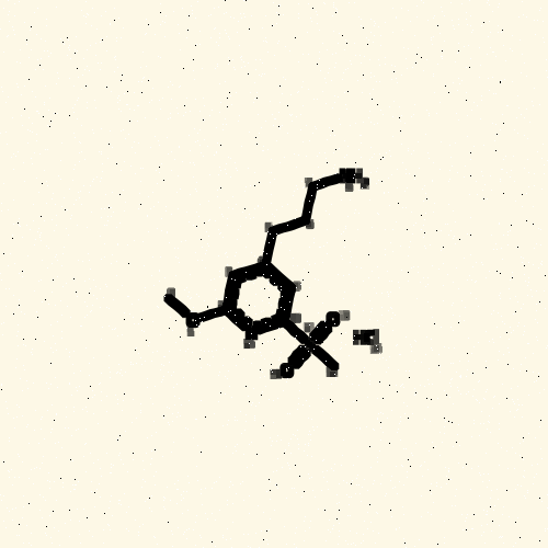 COc1cc(CCCN)cc(S(C)(=O)=O)n1.Cl